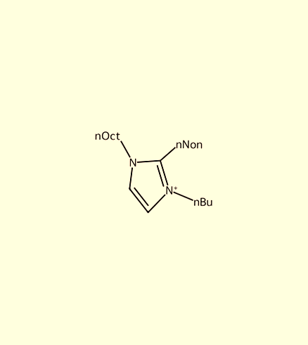 CCCCCCCCCc1n(CCCCCCCC)cc[n+]1CCCC